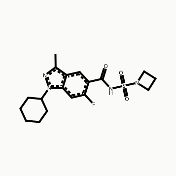 Cc1nn(C2CCCCC2)c2cc(F)c(C(=O)NS(=O)(=O)N3CCC3)cc12